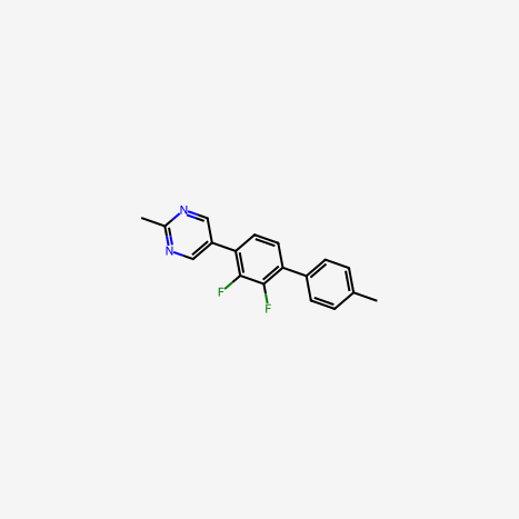 Cc1ccc(-c2ccc(-c3cnc(C)nc3)c(F)c2F)cc1